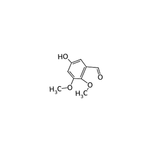 COc1cc(O)cc(C=O)c1OC